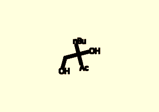 CCCCC(O)(CO)C(C)=O